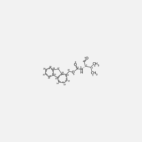 CC(C)[C@@H]([C]=O)NC(=O)OCc1cccc2c1Cc1ccccc1-2